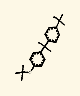 CC(C)(C)Oc1ccc(C(C)(C)c2ccc(C(C)(C)C)cc2)cc1